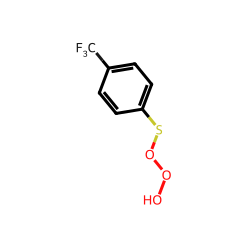 OOOSc1ccc(C(F)(F)F)cc1